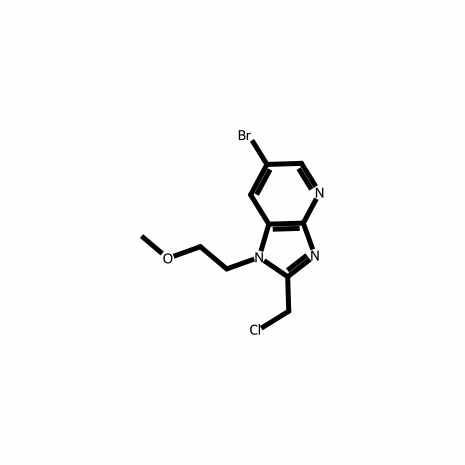 COCCn1c(CCl)nc2ncc(Br)cc21